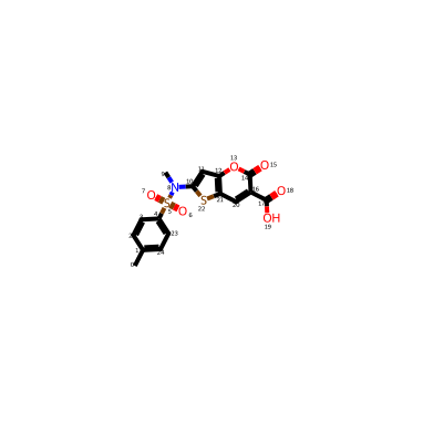 Cc1ccc(S(=O)(=O)N(C)c2cc3oc(=O)c(C(=O)O)cc3s2)cc1